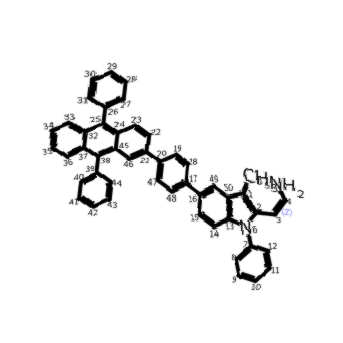 Cc1c(/C=C\N)n(-c2ccccc2)c2ccc(-c3ccc(-c4ccc5c(-c6ccccc6)c6ccccc6c(-c6ccccc6)c5c4)cc3)cc12